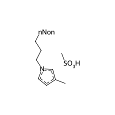 CCCCCCCCCCCCn1ccc(C)c1.CS(=O)(=O)O